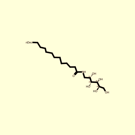 CCCCCCCCCCCCCCCCCCCCCC(=O)NC[C@H](O)[C@@H](O)[C@H](O)[C@H](O)CO